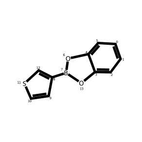 c1ccc2c(c1)OB(c1ccsc1)O2